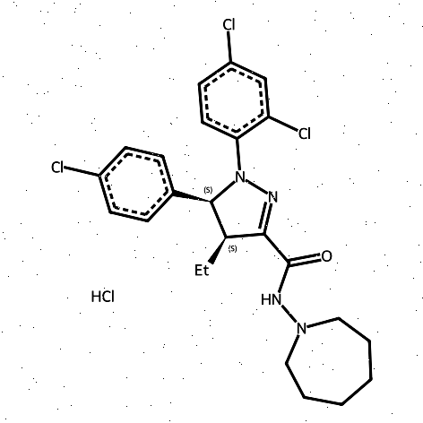 CC[C@@H]1C(C(=O)NN2CCCCCC2)=NN(c2ccc(Cl)cc2Cl)[C@@H]1c1ccc(Cl)cc1.Cl